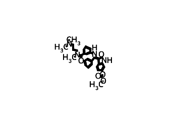 COC(=O)Oc1ccc2c(c1)NC(=O)/C2=C(\Nc1cccc(C(=O)N(C)CCCN(C)C)c1)c1ccccc1